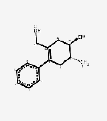 C[C@@H]1CC(c2ccccc2)=C(CO)C[C@H]1Cl